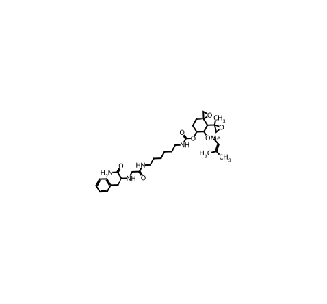 COC1C(OC(=O)NCCCCCCNC(=O)CN[C@@H](Cc2ccccc2)C(N)=O)CC[C@]2(CO2)C1C1(C)O[C@@H]1CC=C(C)C